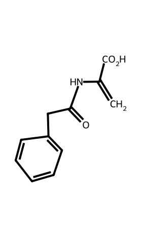 C=C(NC(=O)Cc1ccccc1)C(=O)O